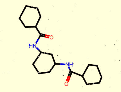 O=C(NC1CCCC(NC(=O)C2CCCCC2)C1)C1CCCCC1